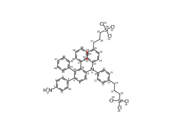 Nc1ccc(-c2ccc(N(c3ccc(CCC[Si](Cl)(Cl)Cl)cc3)c3ccc(CCC[Si](Cl)(Cl)Cl)cc3)c(-c3ccccc3)c2-c2ccccc2)cc1